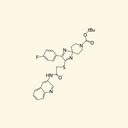 CC(C)(C)OC(=O)N1CCC2(CC1)N=C(SCC(=O)Nc1cnc3ccccc3c1)C(c1ccc(F)cc1)=N2